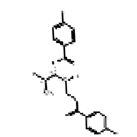 O=C[C@@H](F)[C@H](OC(=O)c1ccc(Cl)cc1)[C@@H](Br)COC(=O)c1ccc(Cl)cc1